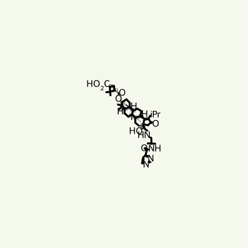 CC(C)C1=C2[C@H]3CC[C@@H]4[C@@]5(C)CC[C@H](OC(=O)[C@H]6C[C@@H](C(=O)O)C6(C)C)C(C)(C)[C@@H]5CC[C@@]4(C)[C@]3(C)CC[C@@]2([C@@H](O)CNCC(C)(C)NC(=O)c2ccncn2)CC1=O